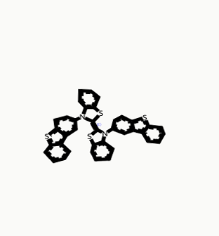 c1ccc2c(c1)S/C(=C1/Sc3ccccc3N1c1ccc3sc4ccccc4c3c1)N2c1ccc2sc3ccccc3c2c1